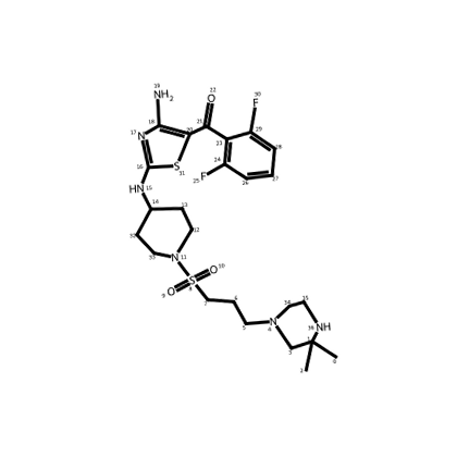 CC1(C)CN(CCCS(=O)(=O)N2CCC(Nc3nc(N)c(C(=O)c4c(F)cccc4F)s3)CC2)CCN1